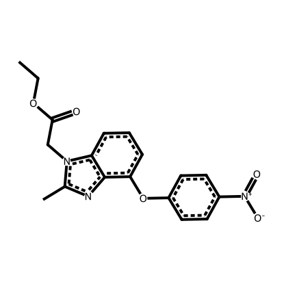 CCOC(=O)Cn1c(C)nc2c(Oc3ccc([N+](=O)[O-])cc3)cccc21